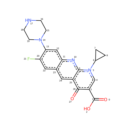 O=C(O)c1cn(C2CC2)c2nc3cc(N4CCNCC4)c(F)cc3cc2c1=O